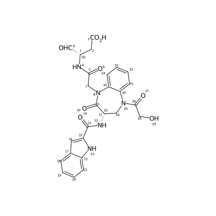 O=C[C@H](CC(=O)O)NC(=O)CN1C(=O)[C@@H](NC(=O)c2cc3ccccc3[nH]2)CN(C(=O)CO)c2ccccc21